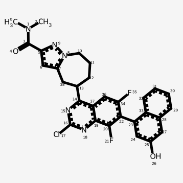 CN(C)C(=O)c1cc2n(n1)CCCC(c1nc(Cl)nc3c(F)c(-c4cc(O)cc5ccccc45)c(F)cc13)C2